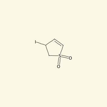 O=S1(=O)C=CC(I)C1